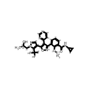 COc1c(C(=O)NC2CC2)cccc1-c1noc(-c2cnn(C[C@@H](C)O)c2C(F)(F)F)c1-c1ccncn1